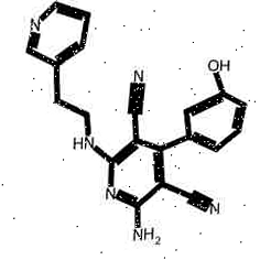 N#Cc1c(N)nc(NCCc2cccnc2)c(C#N)c1-c1cccc(O)c1